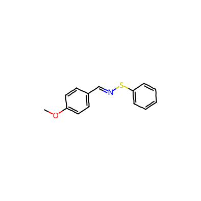 COc1ccc(C=NSc2ccccc2)cc1